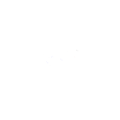 COC(=O)C1(C)CN(c2nc(Cl)ncc2Cl)c2ccccc21